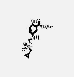 COC(=O)c1cc(NCOS(=O)(=O)CC2CC2)ccc1O